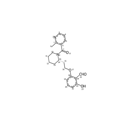 Cc1ncccc1C(=O)N1CCCC[C@H]1CCOc1cccc(O)c1C=O